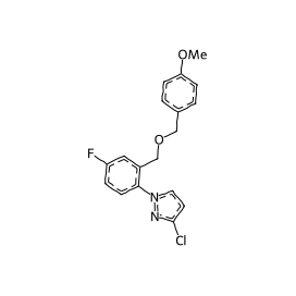 COc1ccc(COCc2cc(F)ccc2-n2ccc(Cl)n2)cc1